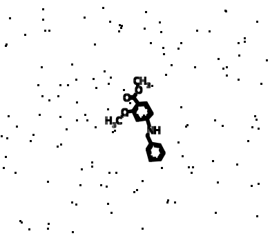 COC(=O)c1ccc(NCc2ccccc2)cc1OC